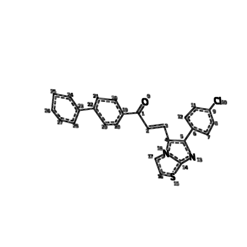 O=C(C=Cc1c(-c2ccc(Cl)cc2)nc2sccn12)c1ccc(-c2ccccc2)cc1